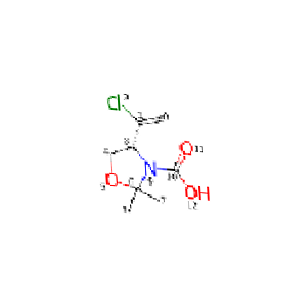 C=C(Cl)[C@H]1COC(C)(C)N1C(=O)O